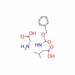 CC(C)[C@H](NC(=O)OCc1ccccc1)C(=O)O.NCC(=O)O